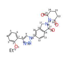 CCOc1ccccc1-c1cn(-c2ccc3c(c2)CN(N2C(=O)CCCC2=O)C3=O)nn1